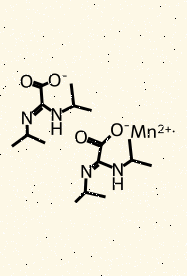 CC(C)N=C(NC(C)C)C(=O)[O-].CC(C)N=C(NC(C)C)C(=O)[O-].[Mn+2]